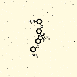 Nc1cccc(Oc2cccc(C(F)(F)C(F)(c3cccc(Oc4cccc(N)c4)c3)C(F)(F)F)c2)c1